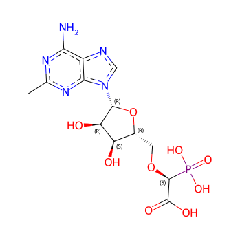 Cc1nc(N)c2ncn([C@@H]3O[C@H](CO[C@H](C(=O)O)P(=O)(O)O)[C@@H](O)[C@H]3O)c2n1